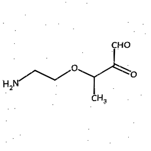 CC(OCCN)C(=O)C=O